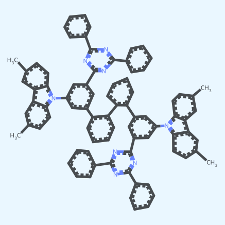 Cc1ccc2c(c1)c1cc(C)ccc1n2-c1cc(-c2nc(-c3ccccc3)nc(-c3ccccc3)n2)cc(-c2ccccc2-c2ccccc2-c2cc(-c3nc(-c4ccccc4)nc(-c4ccccc4)n3)cc(-n3c4ccc(C)cc4c4cc(C)ccc43)c2)c1